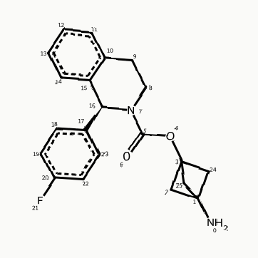 NC12CC(OC(=O)N3CCc4ccccc4[C@@H]3c3ccc(F)cc3)(C1)C2